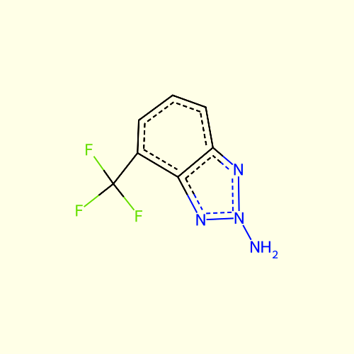 Nn1nc2cccc(C(F)(F)F)c2n1